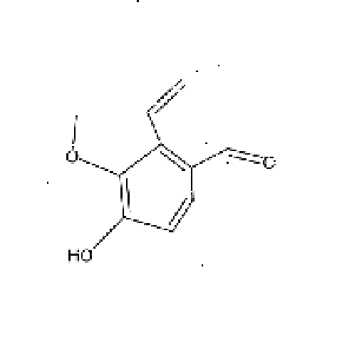 C=Cc1c(C=O)ccc(O)c1OC